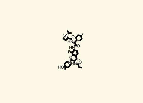 CCC(=O)N[C@@H](C(=O)N1CCC(C)(O)CC1)[C@@H](C)c1ccc(NC(=O)[C@@H](NC(=O)c2ccnn2C(C)C)[C@H]2CC[C@H](C)CC2)c(F)c1